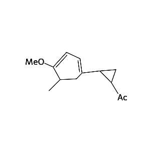 COC1=CC=C(C2CC2C(C)=O)CC1C